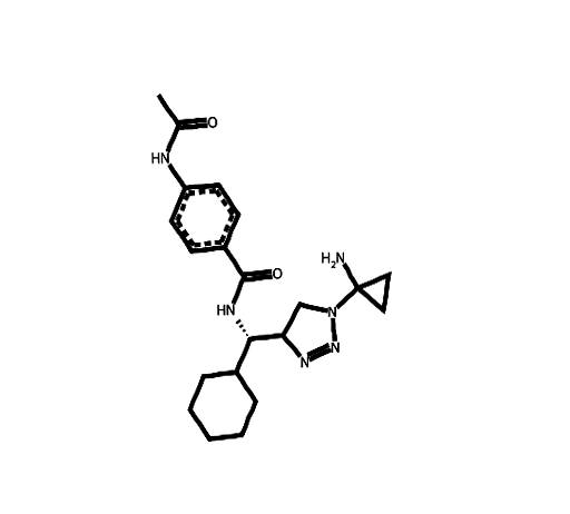 CC(=O)Nc1ccc(C(=O)N[C@@H](C2CCCCC2)C2CN(C3(N)CC3)N=N2)cc1